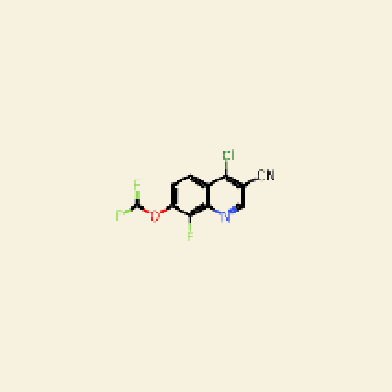 N#Cc1cnc2c(F)c(OC(F)F)ccc2c1Cl